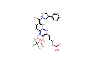 O=C(O)CCCCc1nc2cc(C(=O)N3CCC(c4ccccc4)C3)ccc2nc1OS(=O)(=O)C(F)(F)F